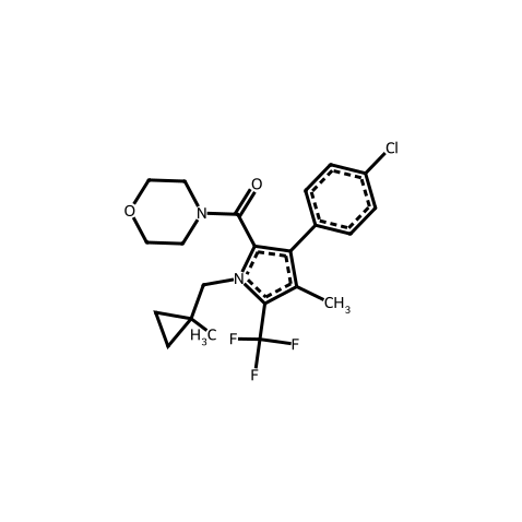 Cc1c(-c2ccc(Cl)cc2)c(C(=O)N2CCOCC2)n(CC2(C)CC2)c1C(F)(F)F